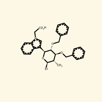 CC[C@H]1O[C@@H](c2cn(CC(=O)O)c3ccccc23)[C@H](OCc2ccccc2)[C@@H](OCc2ccccc2)[C@@H]1C